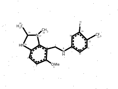 COc1ccc2c(c1CNc1ccc(C(F)(F)F)c(F)c1)N(C)C(C)N2